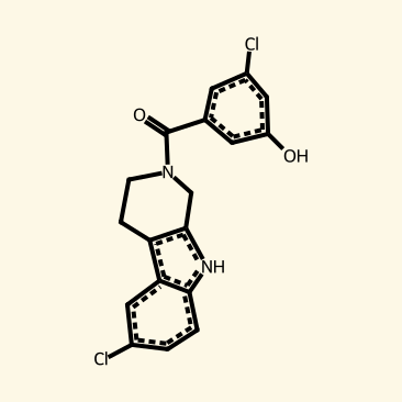 O=C(c1cc(O)cc(Cl)c1)N1CCc2c([nH]c3ccc(Cl)cc23)C1